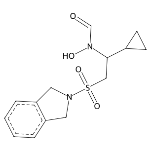 O=CN(O)C(CS(=O)(=O)N1Cc2ccccc2C1)C1CC1